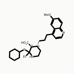 CCC1(SC2CCCCC2)NCC[C@@H](CCCc2ccnc3ccc(OC)cc23)[C@@H]1C(=O)O